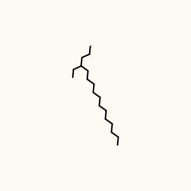 [CH2]CCC(CC)CCCCCCCCCCCC